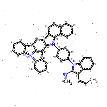 C=Nc1c(/C=C\C)c2ccccc2n1-c1ccc(-n2c3c4ccccc4ccc3c3cc4c5ccccc5n5c6ccccc6c(c32)c45)cc1